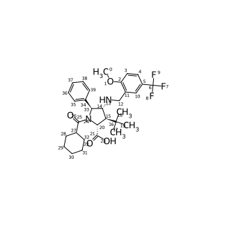 COc1ccc(C(F)(F)F)cc1CN[C@@H]1[C@@H](C(C)(C)C)[C@H](C(=O)O)N(C(=O)C2CCCCC2)[C@H]1c1ccccc1